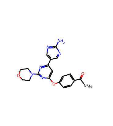 CNC(=O)c1ccc(Oc2cc(-c3cnc(N)nc3)nc(N3CCOCC3)n2)cc1